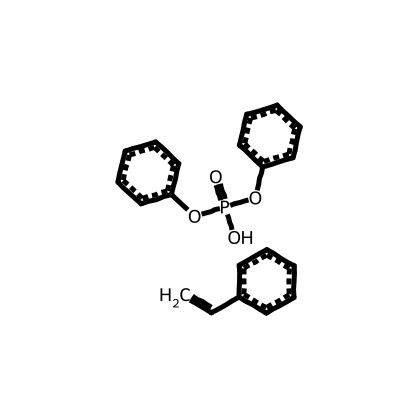 C=Cc1ccccc1.O=P(O)(Oc1ccccc1)Oc1ccccc1